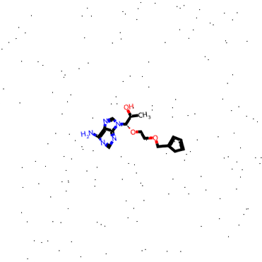 CC(O)[C@H](OCCOCC1=CC=CC1)n1cnc2c(N)ncnc21